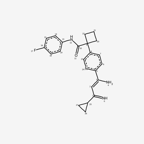 N=C(/C=C(\N)c1ccc(C2(C(=O)Nc3ccc(F)cc3)CCC2)cn1)C1CC1